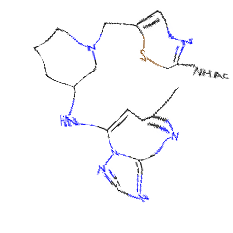 CC(=O)Nc1ncc(CN2CCCC(Nc3cc(C)nc4ncnn34)C2)s1